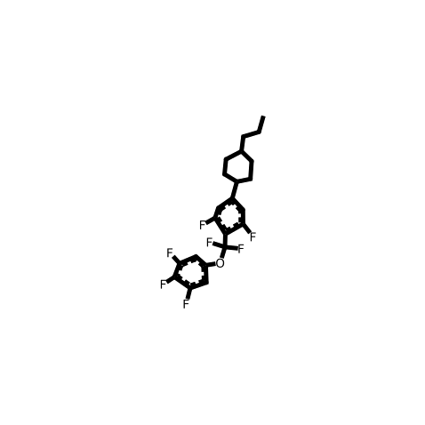 CCCC1CCC(c2cc(F)c(C(F)(F)Oc3cc(F)c(F)c(F)c3)c(F)c2)CC1